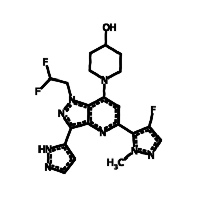 Cn1ncc(F)c1-c1cc(N2CCC(O)CC2)c2c(n1)c(-c1ccn[nH]1)nn2CC(F)F